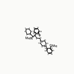 CNC(C1CCCCC1)C(CCN1CCN(c2ccccc2OC)CC1)c1ccccc1F